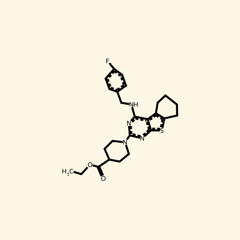 CCOC(=O)C1CCN(c2nc(NCc3ccc(F)cc3)c3c4c(sc3n2)CCCC4)CC1